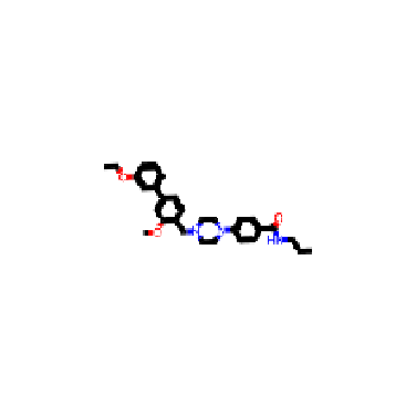 CCCNC(=O)c1ccc(N2CCN(Cc3ccc(-c4cccc(OCC)c4)cc3OC)CC2)cc1